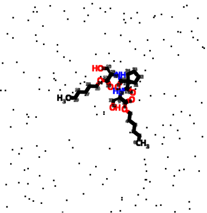 CCCCCCOC(=O)[C@@H](CO)NC(=O)C1(C(=O)N[C@H](CO)C(=O)OCCCCCC)CCCC1